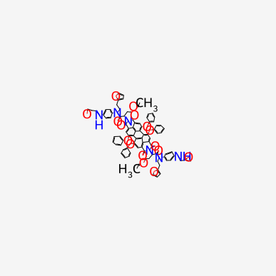 CCOCCC(C(=O)N(CCc1ccco1)c1ccc(NCC2CO2)cc1)N1C(=O)c2cc(Oc3ccccc3)c3c4c(Oc5ccccc5)cc5c6c(cc(Oc7ccccc7)c(c7c(Oc8ccccc8)cc(c2c37)C1=O)c64)C(=O)N(C(CCOCC)C(=O)N(CCc1ccco1)c1ccc(NCC2CO2)cc1)C5=O